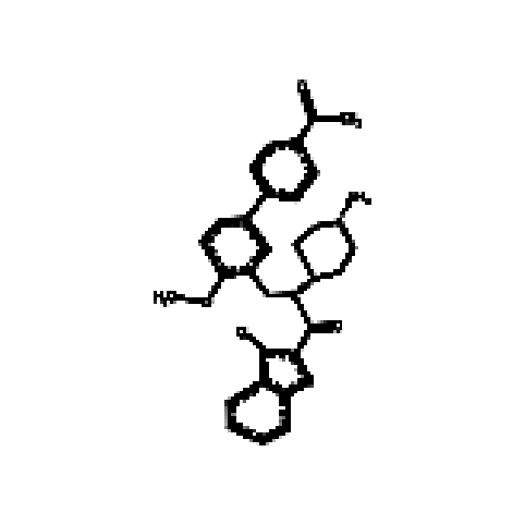 COc1ccc(-c2ccc(C(C)=O)cc2)cc1CN(C(=O)c1sc2ccccc2c1Cl)[C@H]1CC[C@H](N)CC1